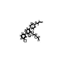 CCCSN1CCN(c2cnn(-c3cccc(Cl)c3)c(=O)c2OCCOCC)CC1